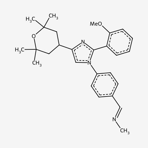 C/N=C/c1ccc(-n2cc(C3CC(C)(C)OC(C)(C)C3)nc2-c2ccccc2OC)cc1